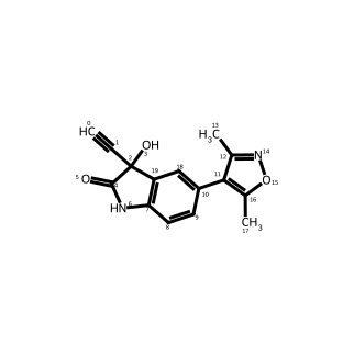 C#CC1(O)C(=O)Nc2ccc(-c3c(C)noc3C)cc21